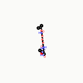 Nc1cccc2c1CN(C1(CCCCNC(=O)CCOCCOCCOCCNC(=O)OCC3c4ccccc4-c4ccccc43)CCC(=O)NC1=O)C2=O